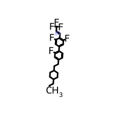 CCCC1CCC(CCc2ccc(-c3cc(F)c(/C=C/C(F)(F)F)c(F)c3)c(F)c2)CC1